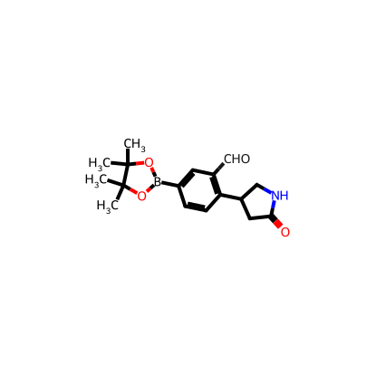 CC1(C)OB(c2ccc(C3CNC(=O)C3)c(C=O)c2)OC1(C)C